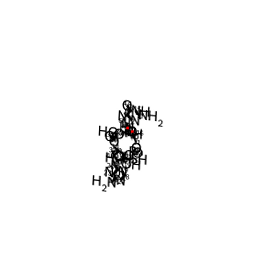 Nc1nc2c(ncn2[C@@H]2O[C@@H]3CO[P@](=O)(S)O[C@H]4[C@@H](O)[C@H](n5cnc6c(N)ncnc65)[C@H]5C[C@]54COP(=O)(O)O[C@@H]2[C@@H]3F)c(=O)[nH]1